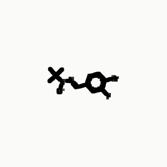 CC(C)(C)[S+]([O-])N=Cc1ccc(Br)c(F)c1